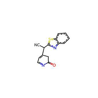 N#CC(C1=CC=NC(=O)C1)c1nc2ccccc2s1